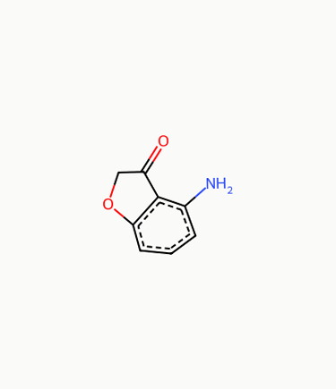 Nc1cccc2c1C(=O)CO2